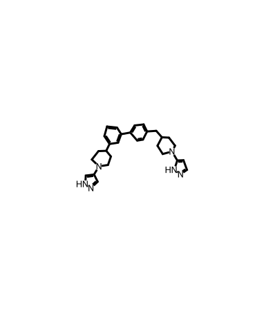 c1cc(-c2ccc(CC3CCN(c4ccn[nH]4)CC3)cc2)cc(C2CCN(c3cn[nH]c3)CC2)c1